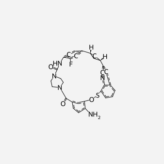 Nc1ccc2cc1OSc1cccc3cc(cnc13)[C@H]1C[C@H](C1)c1ccc(c(F)c1)NC(=O)N1CCN(CC1)C2=O